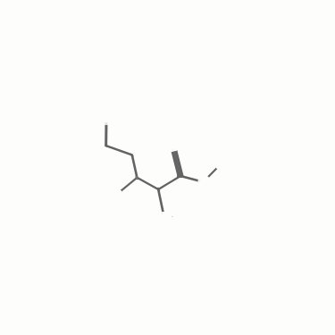 CCCCC(C(=O)OO)C(O)CCO